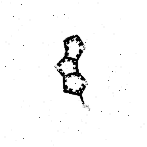 Nc1cc2sc3ccsc3c2s1